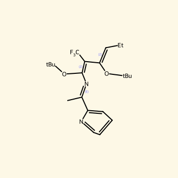 CC/C=C(OC(C)(C)C)/C(=C(\N=C(/C)c1ccccn1)OC(C)(C)C)C(F)(F)F